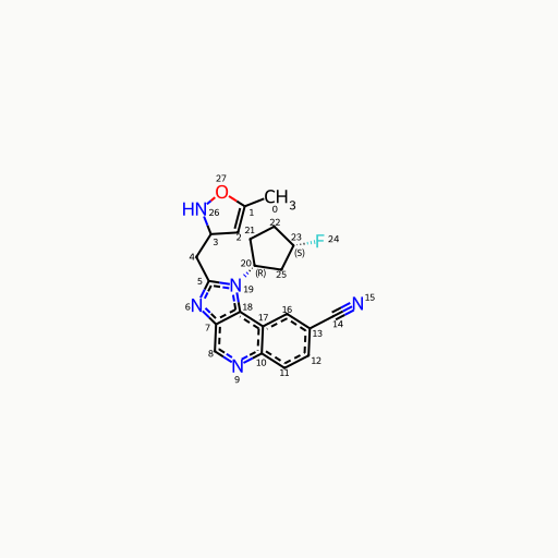 CC1=CC(Cc2nc3cnc4ccc(C#N)cc4c3n2[C@@H]2CC[C@H](F)C2)NO1